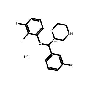 Cl.Fc1cccc(C(Oc2cccc(F)c2F)[C@@H]2CNCCO2)c1